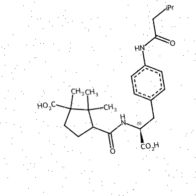 CC(C)CC(=O)Nc1ccc(C[C@H](NC(=O)C2CCC(C)(C(=O)O)C2(C)C)C(=O)O)cc1